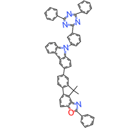 CC1(C)c2cc(-c3ccc4c(c3)c3ccccc3n4-c3cccc(-c4nc(-c5ccccc5)nc(-c5ccccc5)n4)c3)ccc2-c2ccc3oc(-c4ccccc4)nc3c21